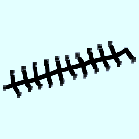 F[C]C(F)(F)C(F)(F)C(F)(F)C(F)(F)C(F)(F)C(F)(F)C(F)(F)C(F)(F)C(F)(F)C(F)(F)F